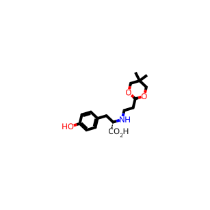 CC1(C)COC(CCN[C@@H](Cc2ccc(O)cc2)C(=O)O)OC1